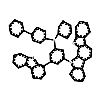 c1ccc(-c2ccc(N(c3ccccc3)c3cc(-c4cccc5c4sc4ccccc45)cc(-n4c5ccccc5c5ccc6c7ccccc7oc6c54)c3)cc2)cc1